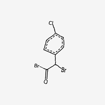 O=C(Br)C(Br)c1ccc(Cl)cc1